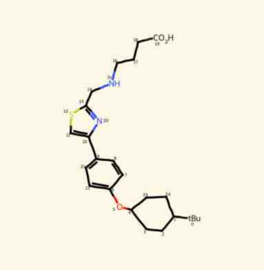 CC(C)(C)C1CCC(Oc2ccc(-c3csc(CNCCCC(=O)O)n3)cc2)CC1